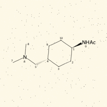 CC(=O)N[C@H]1CC[C@H](CN(C)C)CC1